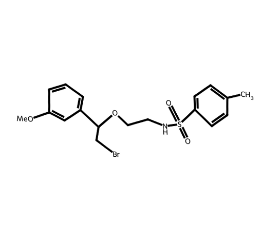 COc1cccc(C(CBr)OCCNS(=O)(=O)c2ccc(C)cc2)c1